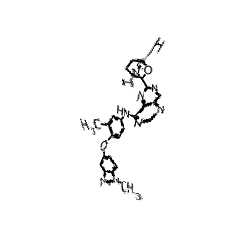 Cc1cc(Nc2ncnc3cnc(N4C[C@H]5CC[C@@H]4CO5)nc23)ccc1Oc1ccc2c(c1)ncn2C